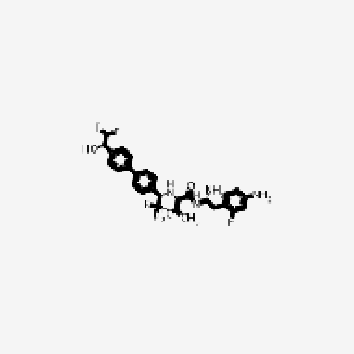 CC(C)[C@H](N[C@@H](c1ccc(-c2ccc([C@@H](O)C(F)F)cc2)cc1)C(F)(F)F)C(=O)N[C@H](N)Cc1ccc(N)cc1F